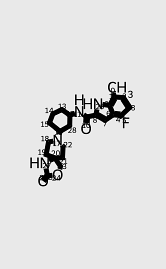 Cc1ccc(F)c2cc(C(=O)NC3CCCC(N4CCC5(CC4)COC(=O)N5)C3)[nH]c12